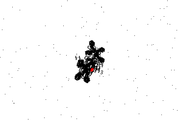 CC(=O)OC(CCOC(O)C(OC(=O)c1ccccc1)C(OC(=O)c1ccccc1)C(CCOC(=O)c1ccccc1)OC(=O)c1ccccc1)C(OC(O)C(OC(=O)c1ccccc1)C(OC(=O)c1ccccc1)C(CCO)OC(=O)c1ccccc1)C(OC(C)=O)C(O)O